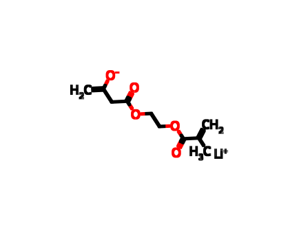 C=C([O-])CC(=O)OCCOC(=O)C(=C)C.[Li+]